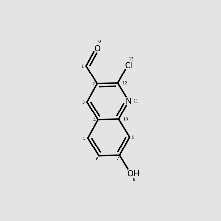 O=Cc1cc2ccc(O)cc2nc1Cl